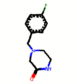 O=C1CN(Cc2ccc(F)cc2)CCN1